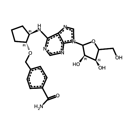 NC(=O)c1ccc(CO[C@@H]2CCC[C@H]2Nc2ncnc3c2ncn3C2OC(CO)[C@@H](O)[C@H]2O)cc1